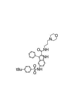 CC(C)(C)c1ccc(S(=O)(=O)Nc2ccc3[nH]c(C(=O)NCCCN4CCOCC4)c(-c4ccccc4)c3c2)cc1